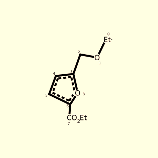 C[CH]OCc1ccc(C(=O)OCC)o1